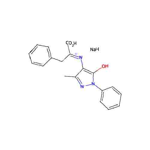 Cc1nn(-c2ccccc2)c(O)c1/N=C(\Cc1ccccc1)C(=O)O.[NaH]